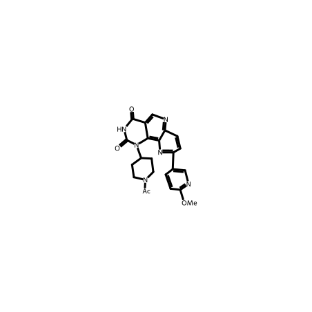 COc1ccc(-c2ccc3ncc4c(=O)[nH]c(=O)n(C5CCN(C(C)=O)CC5)c4c3n2)cn1